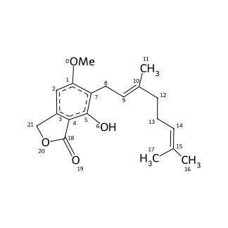 COc1cc2c(c(O)c1C/C=C(\C)CCC=C(C)C)C(=O)OC2